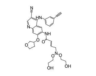 C#Cc1cccc(Nc2c(C#N)cnc3cc(OC4CCOC4)c(NC(=O)/C=C/CN(OCCO)OCCO)cc23)c1